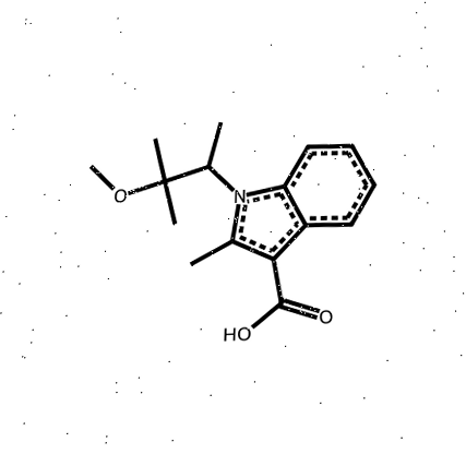 COC(C)(C)C(C)n1c(C)c(C(=O)O)c2ccccc21